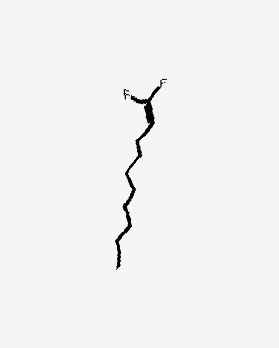 CCCCCCCCC=C(F)F